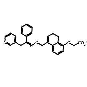 O=C(O)COc1cccc2c1CCC=C2CON=C(Cc1cccnc1)c1ccccc1